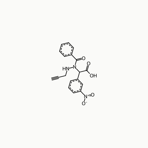 C#CCNN(C(=O)c1ccccc1)C(C(=O)O)c1cccc([N+](=O)[O-])c1